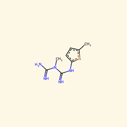 Cc1ccc(NC(=N)N(C)C(=N)N)s1